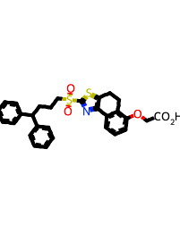 O=C(O)COc1cccc2c1CCc1sc(S(=O)(=O)CCCC(c3ccccc3)c3ccccc3)nc1-2